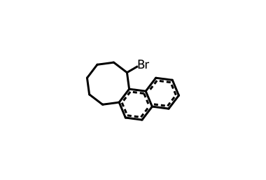 BrC1CCCCCc2ccc3ccccc3c21